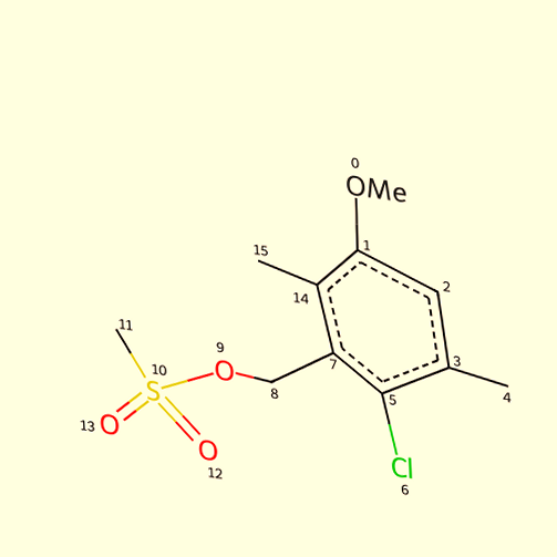 COc1cc(C)c(Cl)c(COS(C)(=O)=O)c1C